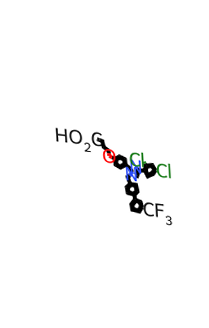 O=C(O)CCCOc1ccc(-c2nc(-c3ccc(Cl)cc3Cl)cn2Cc2ccc(-c3cccc(C(F)(F)F)c3)cc2)cc1